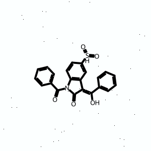 O=C1/C(=C(\O)c2ccccc2)c2cc([SH](=O)=O)ccc2N1C(=O)c1ccccc1